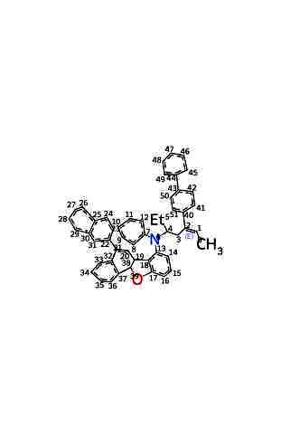 C/C=C(\CC(CC)N(c1ccccc1)c1cccc2c1C1C=C(c3ccc4ccccc4c3)c3ccccc3C1O2)c1ccc(-c2ccccc2)cc1